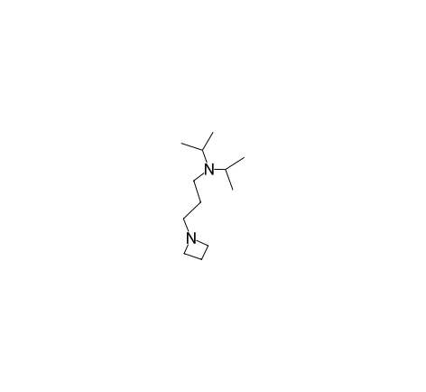 CC(C)N(CCCN1CCC1)C(C)C